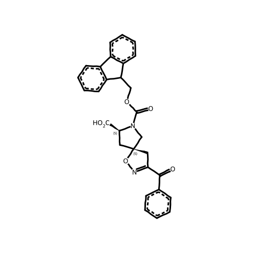 O=C(C1=NO[C@]2(C1)C[C@@H](C(=O)O)N(C(=O)OCC1c3ccccc3-c3ccccc31)C2)c1ccccc1